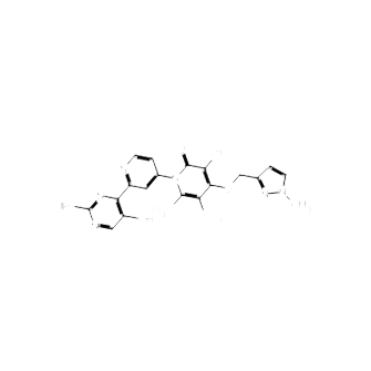 Cc1cnc(C(C)C)nc1-c1cc(-n2c(C)c(C)c(OCc3ccn(C)n3)c(Cl)c2=O)ccn1